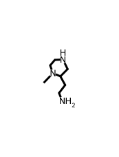 CN1CCNCC1CCN